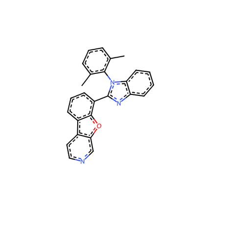 Cc1cccc(C)c1-n1c(-c2cccc3c2oc2cnccc23)nc2ccccc21